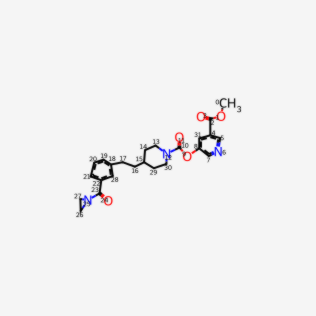 COC(=O)c1cncc(OC(=O)N2CCC(CCc3cccc(C(=O)N4CC4)c3)CC2)c1